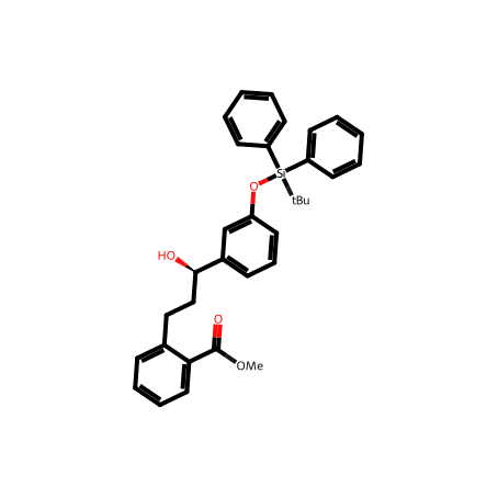 COC(=O)c1ccccc1CC[C@@H](O)c1cccc(O[Si](c2ccccc2)(c2ccccc2)C(C)(C)C)c1